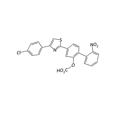 O=C(O)Oc1cc(-c2nc(-c3ccc(Cl)cc3)cs2)ccc1-c1ccccc1[N+](=O)[O-]